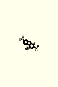 O=C1C2=Cc3cc([S-](=O)=O)ccc3C2=CC=C1[S-](=O)=O.[Na+].[Na+]